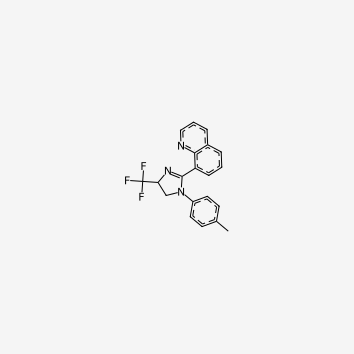 Cc1ccc(N2CC(C(F)(F)F)N=C2c2cccc3cccnc23)cc1